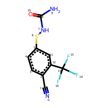 N#Cc1ccc(SNC(N)=O)cc1C(F)(F)F